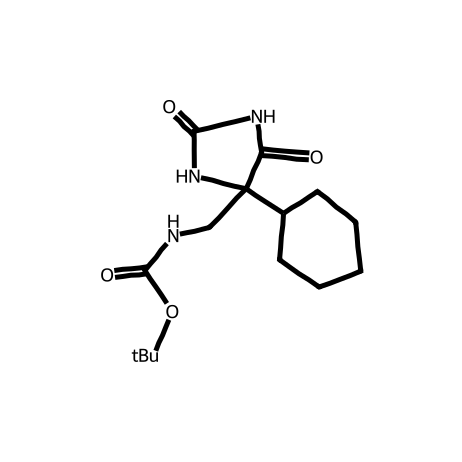 CC(C)(C)OC(=O)NCC1(C2CCCCC2)NC(=O)NC1=O